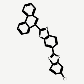 Clc1ccc2nc(-c3ccc4nc(-c5cc6ccccc6c6ccccc56)sc4c3)sc2c1